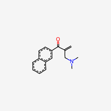 C=C(CN(C)C)C(=O)c1ccc2ccccc2c1